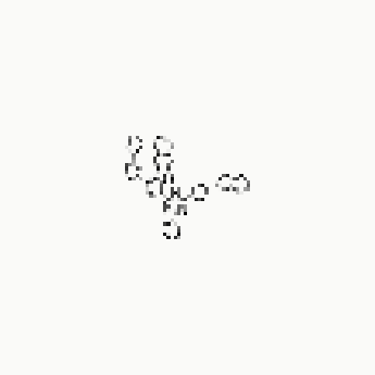 c1ccc(-c2cccc(-c3ccc(-c4nc(-c5ccccc5)nc(-c5ccc(-c6ccc7ccccc7c6)cc5)n4)c4oc5cc6ccccc6cc5c34)c2)cc1